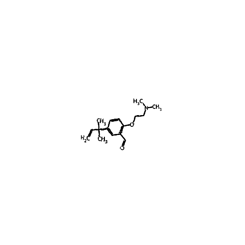 C=CC(C)(C)c1ccc(OCCN(C)C)c(C=O)c1